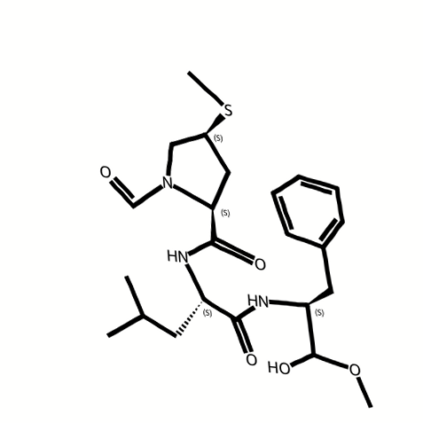 COC(O)[C@H](Cc1ccccc1)NC(=O)[C@H](CC(C)C)NC(=O)[C@@H]1C[C@H](SC)CN1C=O